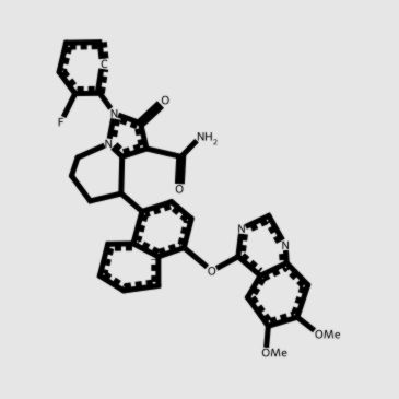 COc1cc2ncnc(Oc3ccc(C4CCCn5c4c(C(N)=O)c(=O)n5-c4ccccc4F)c4ccccc34)c2cc1OC